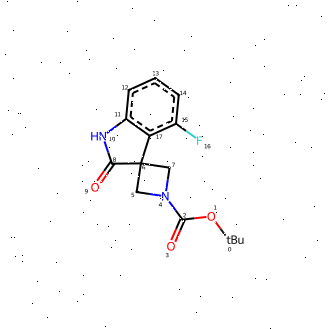 CC(C)(C)OC(=O)N1CC2(C1)C(=O)Nc1cccc(F)c12